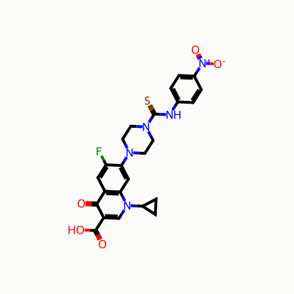 O=C(O)c1cn(C2CC2)c2cc(N3CCN(C(=S)Nc4ccc([N+](=O)[O-])cc4)CC3)c(F)cc2c1=O